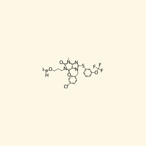 Cn1c(=O)n(CCCOPI)c(=O)c2c1nc(Sc1cccc(OC(F)(F)F)c1)n2Cc1ccc(Cl)cc1